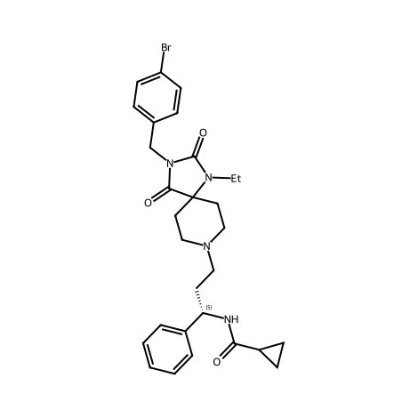 CCN1C(=O)N(Cc2ccc(Br)cc2)C(=O)C12CCN(CC[C@H](NC(=O)C1CC1)c1ccccc1)CC2